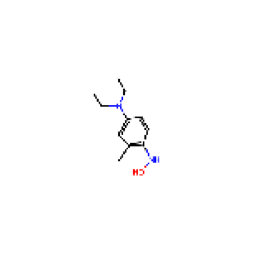 CCN(CC)c1ccc(NO)c(C)c1